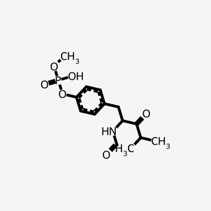 COP(=O)(O)Oc1ccc(CC(NC=O)C(=O)C(C)C)cc1